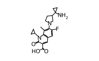 Cc1c(N2CCC(C3(N)CC3)C2)c(F)cc2cc(C(=O)O)c(=O)n(C3CC3)c12